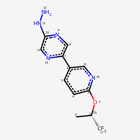 C[C@H](Oc1ccc(-c2cnc(NN)cn2)cn1)C(F)(F)F